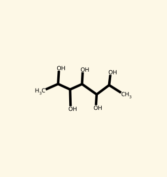 CC(O)C(O)C(O)C(O)C(C)O